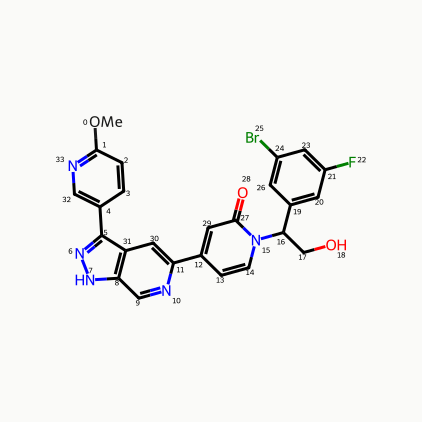 COc1ccc(-c2n[nH]c3cnc(-c4ccn(C(CO)c5cc(F)cc(Br)c5)c(=O)c4)cc23)cn1